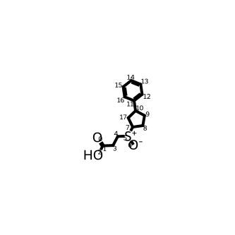 O=C(O)CC[S+]([O-])C1CCC(c2ccccc2)C1